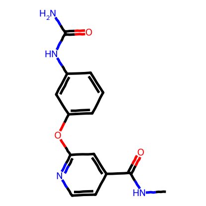 CNC(=O)c1ccnc(Oc2cccc(NC(N)=O)c2)c1